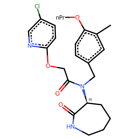 CCCOc1ccc(CN(C(=O)COc2ccc(Cl)cn2)[C@H]2CCCCNC2=O)cc1C